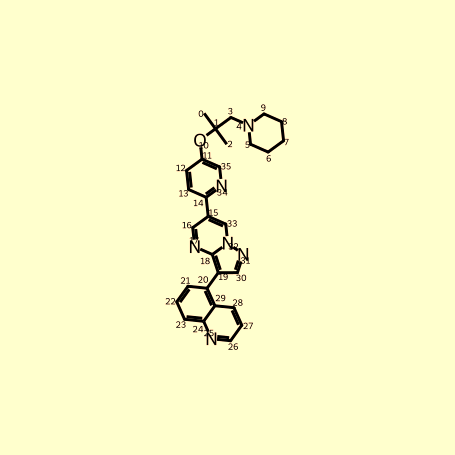 CC(C)(CN1CCCCC1)Oc1ccc(-c2cnc3c(-c4cccc5ncccc45)cnn3c2)nc1